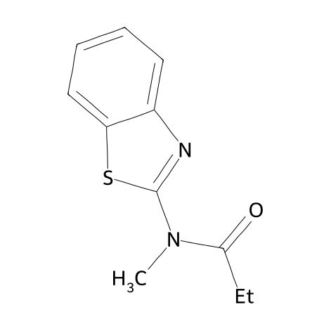 CCC(=O)N(C)c1nc2ccccc2s1